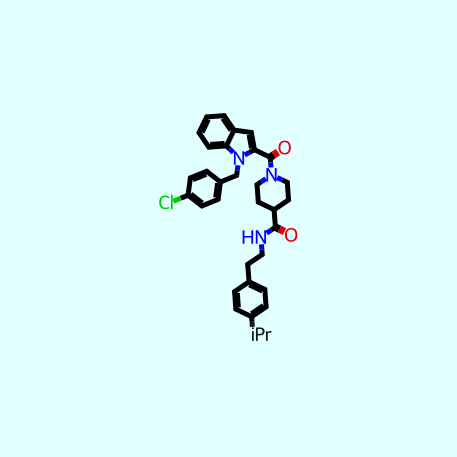 CC(C)c1ccc(CCNC(=O)C2CCN(C(=O)c3cc4ccccc4n3Cc3ccc(Cl)cc3)CC2)cc1